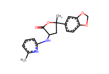 Cc1cccc(NC2CC(C)(c3ccc4c(c3)OCO4)OC2=O)n1